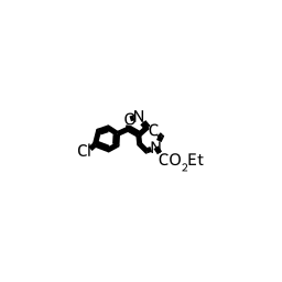 CCOC(=O)N1CCc2noc(-c3ccc(Cl)cc3)c2CC1